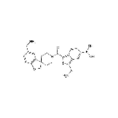 CSc1sc(C(=O)N2CCC3(CC2)COc2ccc(CN)cc23)c2ccc(B(O)O)cc12